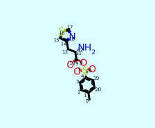 Cc1ccc(S(=O)(=O)OC(=O)[C@@H](N)Cc2cscn2)cc1